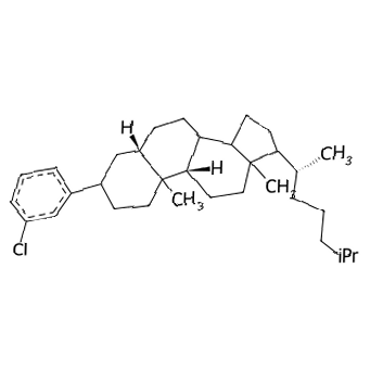 CC(C)CCC[C@@H](C)C1CCC2C3CC[C@H]4CC(c5cccc(Cl)c5)CCC4(C)[C@H]3CCC21C